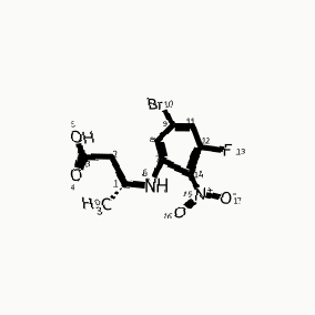 C[C@H](CC(=O)O)Nc1cc(Br)cc(F)c1[N+](=O)[O-]